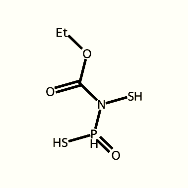 CCOC(=O)N(S)[PH](=O)S